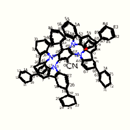 N#Cc1c(-n2c3c(c4cc(-c5ccccc5)ccc42)CC(C2=CCCC=C2)C=C3)c(N2C3=C(CCC=C3)C3C=CC=CC32)c(-c2ccccc2)c(-n2c3c(c4ccccc42)CCC=C3)c1-n1c2ccc(C3=CCCC=C3)cc2c2cc(-c3ccccc3)ccc21